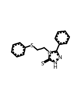 S=c1[nH]nc(-c2ccccc2)n1CCSc1ccccc1